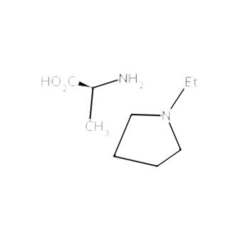 CCN1CCCC1.C[C@H](N)C(=O)O